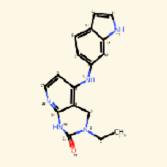 CCN1Cc2c(Nc3ccc4cc[nH]c4c3)ccnc2NC1=O